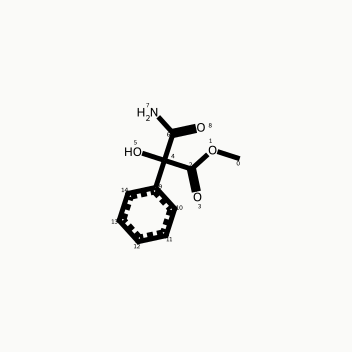 COC(=O)C(O)(C(N)=O)c1ccccc1